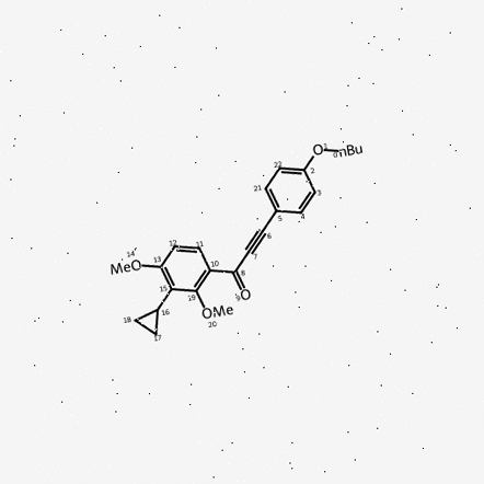 CCCCOc1ccc(C#CC(=O)c2ccc(OC)c(C3CC3)c2OC)cc1